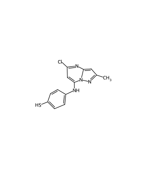 Cc1cc2nc(Cl)cc(Nc3ccc(S)cc3)n2n1